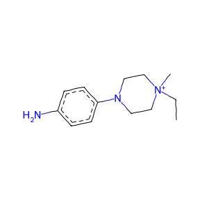 CC[N+]1(C)CCN(c2ccc(N)cc2)CC1